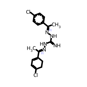 C/C(=N\NC(=N)N/N=C(\C)c1ccc(Cl)cc1)C1=CC=C(Cl)CC1